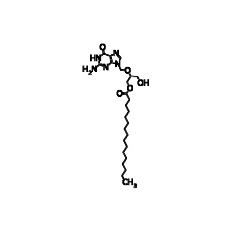 CCCCCCCCCCCCCCCC(=O)OCC(CO)OCn1cnc2c(=O)[nH]c(N)nc21